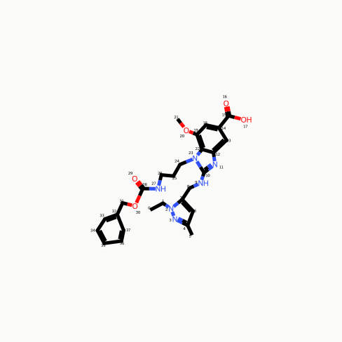 CCn1nc(C)cc1CNc1nc2cc(C(=O)O)cc(OC)c2n1CCCNC(=O)OCc1ccccc1